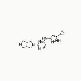 CN1CC2CN(c3nccc(Nc4cc(C5CC5)[nH]n4)n3)CC2C1